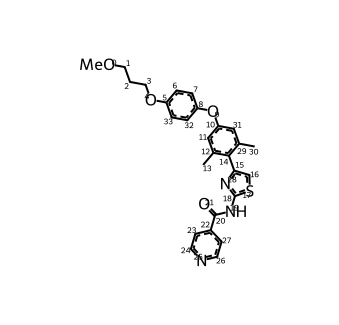 COCCCOc1ccc(Oc2cc(C)c(-c3csc(NC(=O)c4ccncc4)n3)c(C)c2)cc1